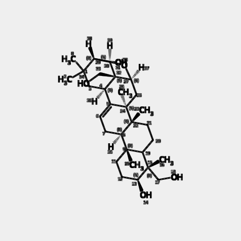 CC1(C)C[C@@H]2C3=CC[C@@H]4[C@@]5(C)CC[C@H](O)[C@@](C)(CO)C5CC[C@@]4(C)[C@]3(C)C[C@@H]3O[C@H]1[C@@H](O)[C@]32CO